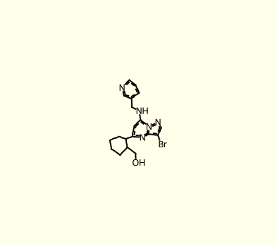 OCC1CCCCC1c1cc(NCc2cccnc2)n2ncc(Br)c2n1